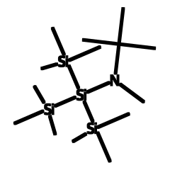 CN(C(C)(C)C)[Si]([Si](C)(C)C)([Si](C)(C)C)[Si](C)(C)C